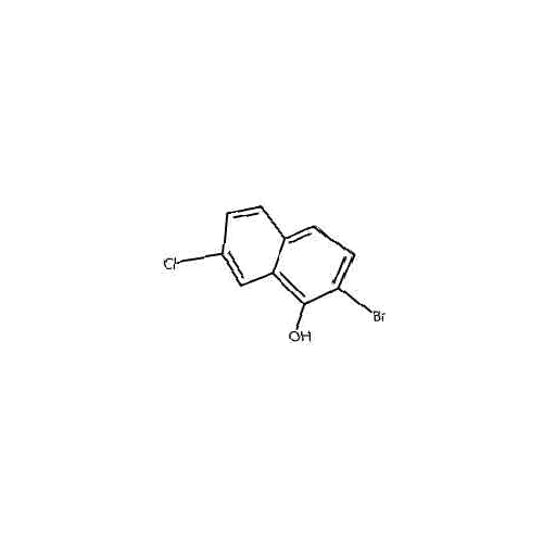 Oc1c(Br)ccc2ccc(Cl)cc12